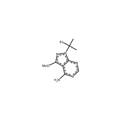 CCC(C)(C)n1nc(OC)c2c(N)ncnc21